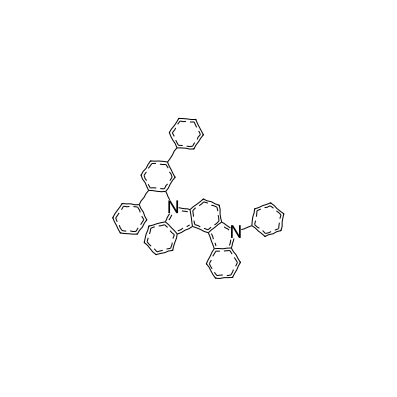 c1ccc(-c2ccc(-c3ccccc3)c(-n3c4ccccc4c4c5c6ccccc6n(-c6ccccc6)c5ccc43)c2)cc1